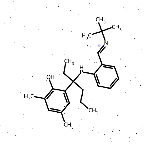 CCCC(CC)(Pc1ccccc1/C=N/C(C)(C)C)c1cc(C)cc(C)c1O